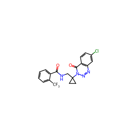 O=C(NCC1(n2nnc3cc(Cl)ccc3c2=O)CC1)c1ccccc1C(F)(F)F